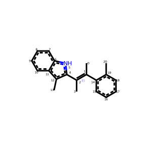 C/C(=C(/C)c1[nH]c2ccccc2c1C)c1ccccc1C